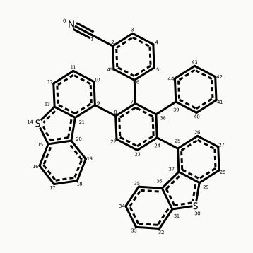 N#Cc1cccc(-c2c(-c3cccc4sc5ccccc5c34)ccc(-c3cccc4sc5ccccc5c34)c2-c2ccccc2)c1